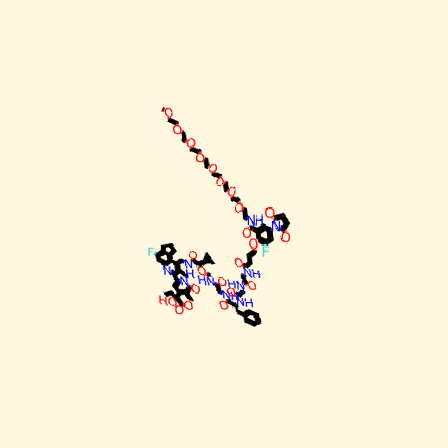 CC[C@@]1(O)C(=O)OCc2c1cc1n(c2=O)Cc2c-1nc1cc(F)c3c(c1c2CNC(=O)[C@@H](OCNC(=O)CNC(=O)[C@H](Cc1ccccc1)NC(=O)CNC(=O)CNC(=O)CCCOc1c(F)cc(N2C(=O)C=CC2=O)cc1C(=O)NCCOCCOCCOCCOCCOCCOCCOCCOC)C1CC1)CCC3